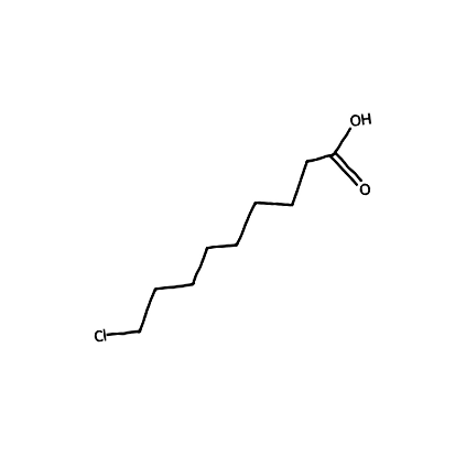 O=C(O)CCCCCCCCCl